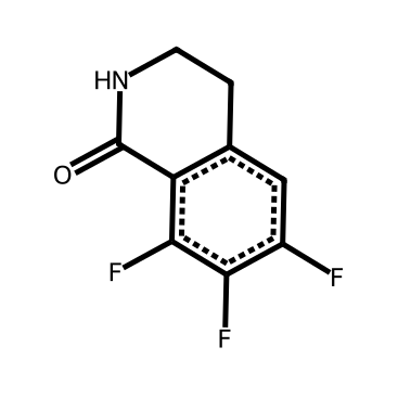 O=C1NCCc2cc(F)c(F)c(F)c21